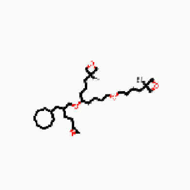 CCC1(CCCCOCCCCC(CCCC2(CC)COC2)OCC(CCC2CO2)CC2CCCCCCC2)COC1